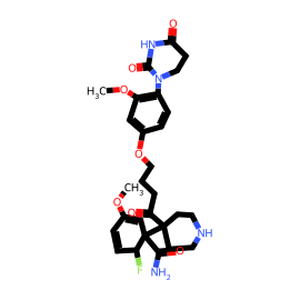 COC1=CC(C(N)=O)(C2(C(=O)CCCOc3ccc(N4CCC(=O)NC4=O)c(OC)c3)CCNCC2)C(F)C=C1